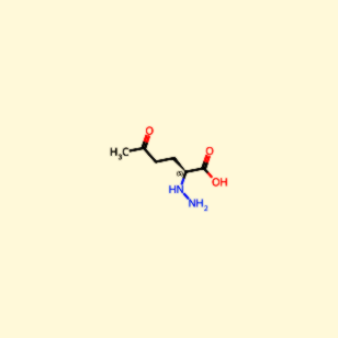 CC(=O)CC[C@H](NN)C(=O)O